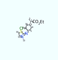 CCOC(=O)C(C)c1ccc(/N=c2\sccn2C)c(Cl)c1